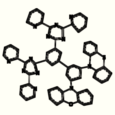 c1ccc(-c2nc(-c3cc(-c4cc(N5c6ccccc6Oc6ccccc65)cc(N5c6ccccc6Sc6ccccc65)c4)cc(-c4nc(-c5ccccn5)nc(-c5ccccn5)n4)c3)nc(-c3ccccn3)n2)nc1